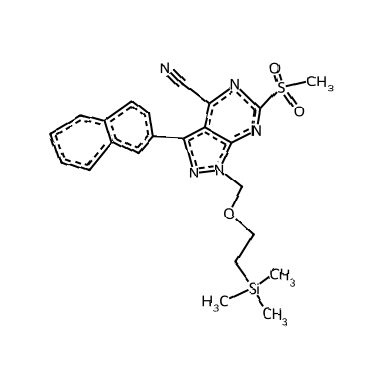 C[Si](C)(C)CCOCn1nc(-c2ccc3ccccc3c2)c2c(C#N)nc(S(C)(=O)=O)nc21